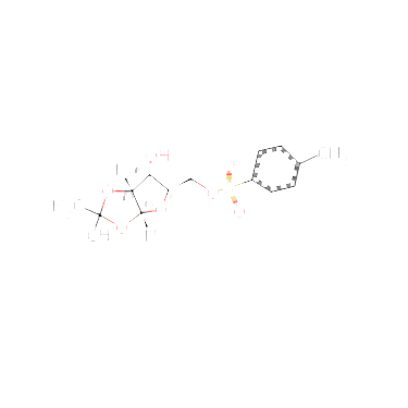 Cc1ccc(S(=O)(=O)OC[C@H]2O[C@@H]3OC(C)(C)O[C@@H]3[C@@H]2O)cc1